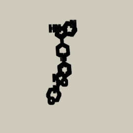 c1cc2c(C3CCN(c4ccc5oc(N6CCOCC6)nc5c4)CC3)c[nH]c2cn1